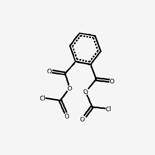 O=C(Cl)OC(=O)c1ccccc1C(=O)OC(=O)Cl